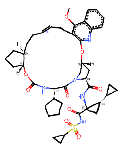 COc1c2c(nc3ccccc13)O[C@@H]1C[C@@H](C(=O)N[C@]3(C(=O)NS(=O)(=O)C4CC4)C[C@H]3C3CC3)N(C1)C(=O)[C@H](C1CCCC1)NC(=O)O[C@@H]1CCC[C@H]1CC/C=C/C2